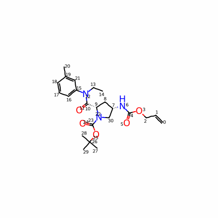 C=CCOC(=O)N[C@H]1C[C@@H](C(=O)N(CC)c2cccc(C)c2)N(C(=O)OC(C)(C)C)C1